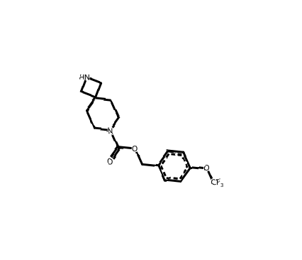 O=C(OCc1ccc(OC(F)(F)F)cc1)N1CCC2(CC1)CNC2